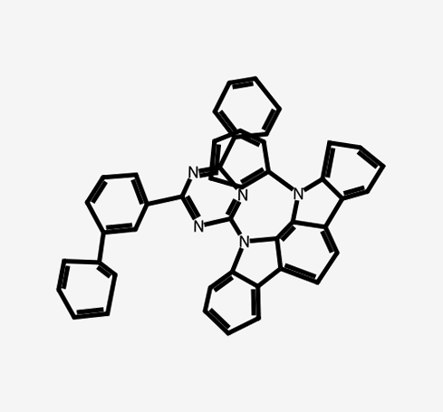 c1ccc(-c2cccc(-c3nc(-c4ccccc4)nc(-n4c5ccccc5c5ccc6c7ccccc7n(-c7ccccc7)c6c54)n3)c2)cc1